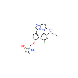 C[C@@H](Nc1ccc2ncc(-c3ccc(OC[C@@H](N)[C@@H](C)O)cc3)n2n1)c1cccc(F)c1